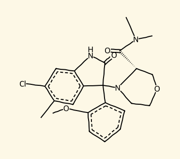 COc1ccccc1C1(N2CCOC[C@H]2C(=O)N(C)C)C(=O)Nc2cc(Cl)c(C)cc21